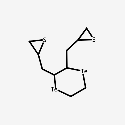 C1C[Te]C(CC2CS2)C(CC2CS2)[Te]1